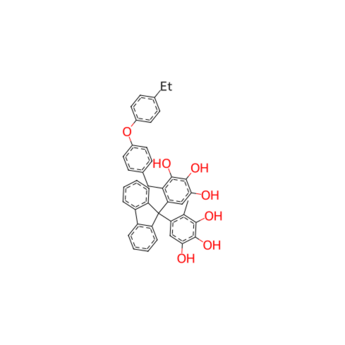 CCc1ccc(Oc2ccc(Cc3c(C4(c5cc(O)c(O)c(O)c5C)c5ccccc5-c5ccccc54)cc(O)c(O)c3O)cc2)cc1